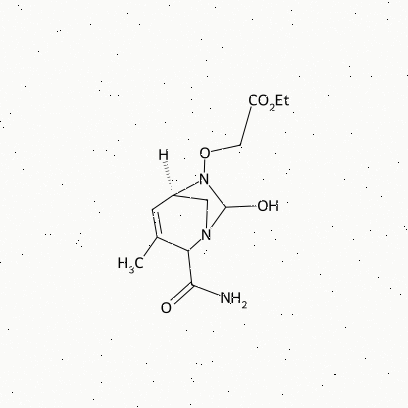 CCOC(=O)CON1C(O)N2C[C@H]1C=C(C)C2C(N)=O